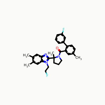 Cc1ccc(-c2cccc(F)c2)c(C(=O)N2CCCC2(C)c2nc3cc(C)c(C)cc3n2CCF)c1